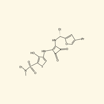 CC[C@@H](Nc1c(Nc2csc(S(=O)(=O)N(C)CC)c2O)c(=O)c1=O)c1cc(C(C)C)co1